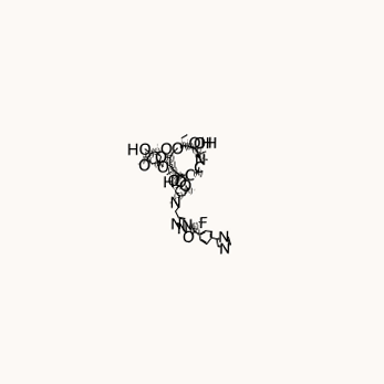 CC[C@H]1OC(=O)[C@H](C)[C@@H](O[C@H]2C[C@@](C)(OC)[C@@H](O)[C@H](C)O2)[C@H](C)[C@@H](O[C@H]2C[C@@H](N(C)CCc3cn([C@H](CF)[C@H](OC)c4ccc(-c5cnccn5)cc4)nn3)C[C@@H](C)O2)[C@](C)(O)C[C@@H](C)CN(C)[C@H](C)[C@@H](O)[C@]1(C)O